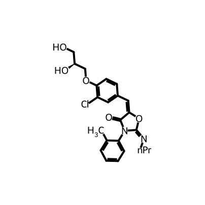 CCC/N=C1/O/C(=C/c2ccc(OC[C@@H](O)CO)c(Cl)c2)C(=O)N1c1ccccc1C